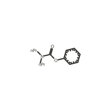 CCCN(CCC)C(=O)Oc1ccccc1